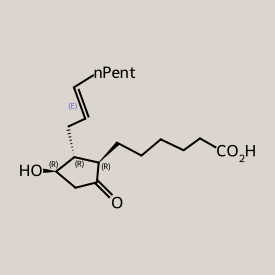 CCCCC/C=C/C[C@H]1[C@H](O)CC(=O)[C@@H]1CCCCCC(=O)O